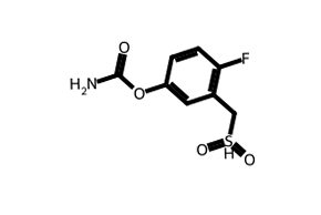 NC(=O)Oc1ccc(F)c(C[SH](=O)=O)c1